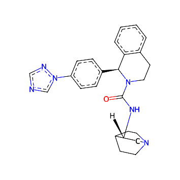 O=C(N[C@@H]1CN2CCC1CC2)N1CCc2ccccc2[C@@H]1c1ccc(-n2cncn2)cc1